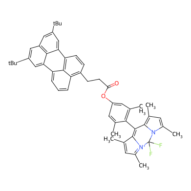 CC1=CC(C)=[N+]2C1=C(c1c(C)cc(OC(=O)CCc3ccc4c5cc(C(C)(C)C)cc6cc(C(C)(C)C)cc(c7cccc3c74)c65)cc1C)c1c(C)cc(C)n1C2(F)F